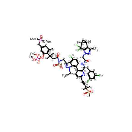 CCOP(=O)(OCC)Oc1cc(CP(=O)(OC)OC)cc(C)c1C(C)(C)CC(=O)N(Cc1nn(CC(F)(F)F)c2c(-c3ccc(C#CC(C)(C)S(C)(=O)=O)nc3[C@H](Cc3cc(F)cc(F)c3)NC(=O)Cn3nc(C(F)(F)F)c4c3C(F)(F)[C@@H]3C[C@H]43)ccc(Cl)c12)[SH](=O)=O